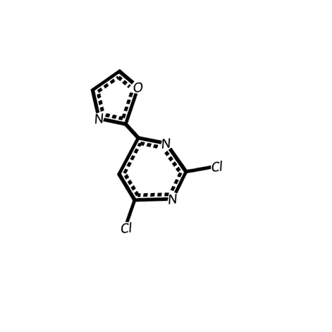 Clc1cc(-c2ncco2)nc(Cl)n1